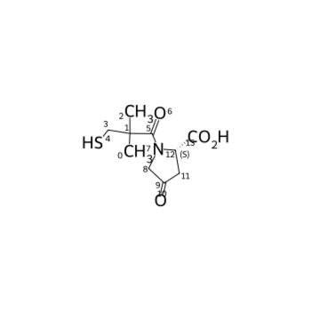 CC(C)(CS)C(=O)N1CC(=O)C[C@H]1C(=O)O